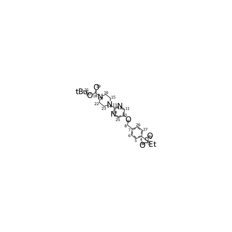 CCS(=O)(=O)c1ccc(COc2cnc(N3CCN(C(=O)OC(C)(C)C)CC3)nc2)cc1